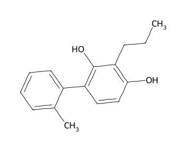 CCCc1c(O)ccc(-c2ccccc2C)c1O